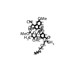 COC(=O)[C@H]1O[C@@H](Oc2ccc(C(=O)N(C)CCOCCN=[N+]=[N-])cc2OS(=O)(=O)c2cc3c(c4cc(OC)ccc24)[C@H](CCl)CN3)[C@H](OC(C)=O)[C@@H](OC(C)=O)[C@@H]1C